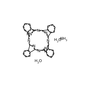 O.O.[AlH3].c1ccc2c(c1)-c1nc-2nc2[nH]c(nc3nc(nc4[nH]c(n1)c1ccccc41)-c1ccccc1-3)c1ccccc21